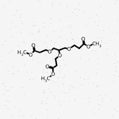 COC(=O)CCOCC(COCCC(=O)OC)OCCC(=O)OC